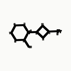 CC(C)C1CC(N2CCCCC2C)C1